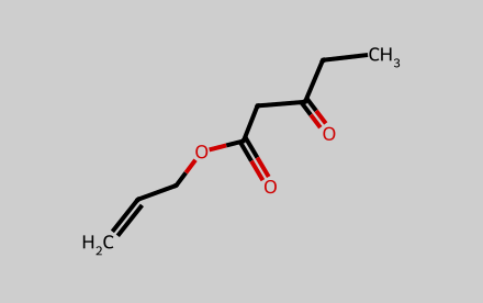 C=CCOC(=O)CC(=O)CC